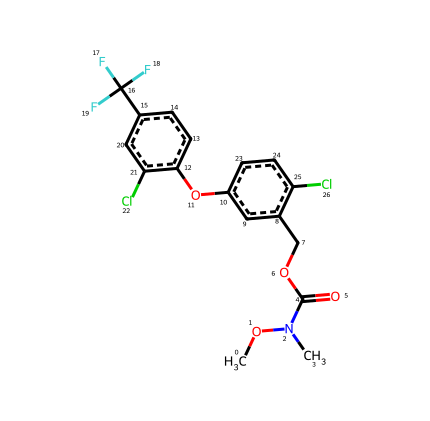 CON(C)C(=O)OCc1cc(Oc2ccc(C(F)(F)F)cc2Cl)ccc1Cl